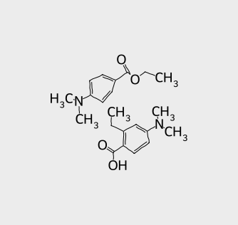 CCOC(=O)c1ccc(N(C)C)cc1.CCc1cc(N(C)C)ccc1C(=O)O